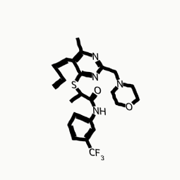 C=C/C=C\c1c(C)nc(CN2CCOCC2)nc1SC(C)C(=O)Nc1cccc(C(F)(F)F)c1